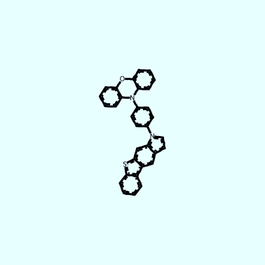 c1ccc2c(c1)Oc1ccccc1N2c1ccc(-n2ccc3cc4c(cc32)sc2ccccc24)cc1